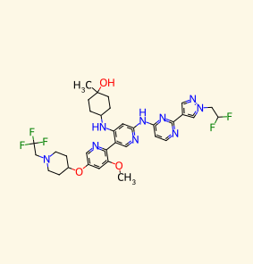 COc1cc(OC2CCN(CC(F)(F)F)CC2)cnc1-c1cnc(Nc2ccnc(-c3cnn(CC(F)F)c3)n2)cc1NC1CCC(C)(O)CC1